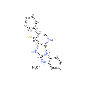 Cn1c2ccccc2n2c3ncc4c5ccccc5sc4c3nc12